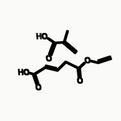 C=C(C)C(=O)O.C=COC(=O)CC=CC(=O)O